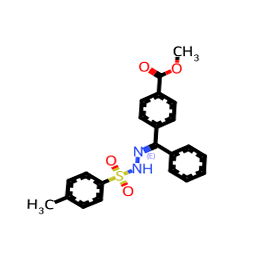 COC(=O)c1ccc(/C(=N/NS(=O)(=O)c2ccc(C)cc2)c2ccccc2)cc1